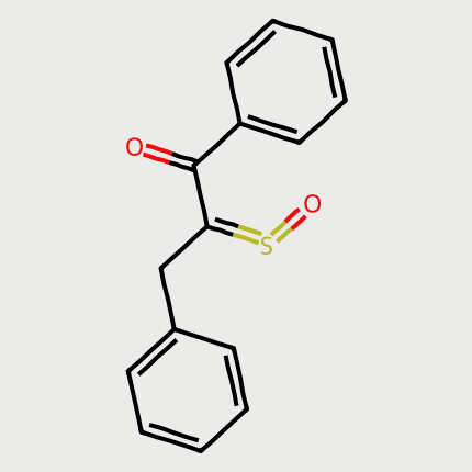 O=S=C(Cc1ccccc1)C(=O)c1ccccc1